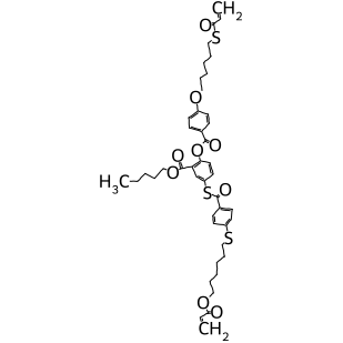 C=CC(=O)OCCCCCCSc1ccc(C(=O)Sc2ccc(OC(=O)c3ccc(OCCCCCCSC(=O)C=C)cc3)c(C(=O)OCCCCC)c2)cc1